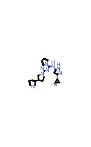 C[C@H]1C[C@@H]1c1cc(Nc2nc(N3CCC(c4cccnc4)C3)nc3cccn23)[nH]n1